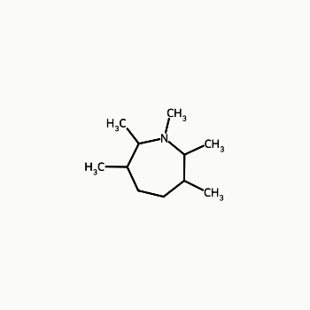 CC1CCC(C)C(C)N(C)C1C